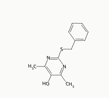 Cc1nc(SCc2ccccc2)nc(C)c1O